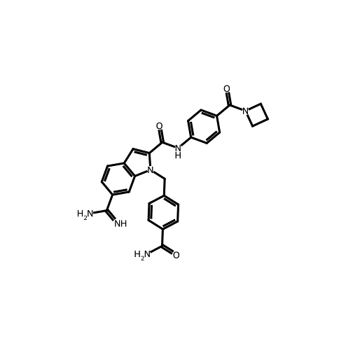 N=C(N)c1ccc2cc(C(=O)Nc3ccc(C(=O)N4CCC4)cc3)n(Cc3ccc(C(N)=O)cc3)c2c1